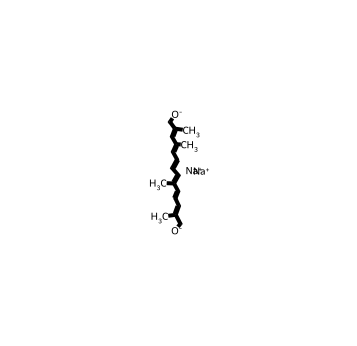 CC(/C=C/C=C(\C)C[O-])=C\C=C\C=C(C)\C=C(/C)C[O-].[Na+].[Na+]